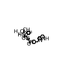 CC(C)Oc1ccccc1[C@@H](C(=O)O)N1CC(C(=O)N2CCC(Cc3ccc4c(n3)NCCC4)CC2)C1